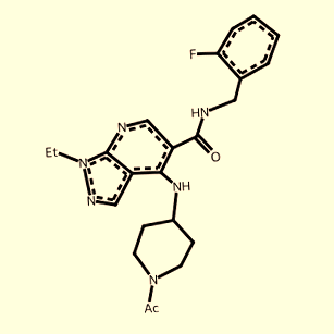 CCn1ncc2c(NC3CCN(C(C)=O)CC3)c(C(=O)NCc3ccccc3F)cnc21